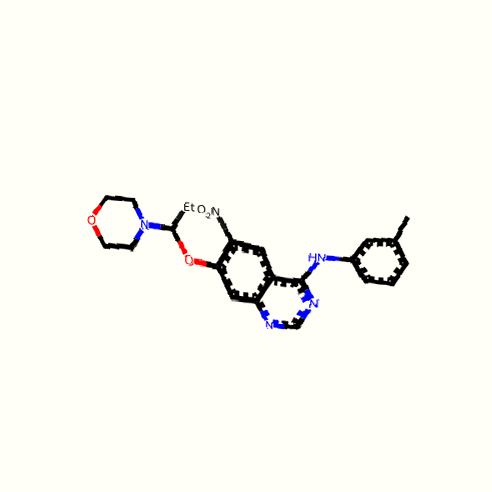 CCC(Oc1cc2ncnc(Nc3cccc(C)c3)c2cc1[N+](=O)[O-])N1CCOCC1